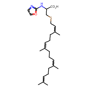 CC(C)=CCCC(C)=CCCC(C)=CCCC(C)=CCSCC(Nc1ncco1)C(=O)O